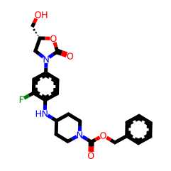 O=C(OCc1ccccc1)N1CCC(Nc2ccc(N3C[C@H](CO)OC3=O)cc2F)CC1